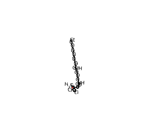 CCOCCOCCOCCOCCOCCOCCC(=O)NCCOCCOCCOCCNS(=O)(=O)c1cccc(C2CN(C)Cc3c(Cl)cc(Cl)cc32)c1